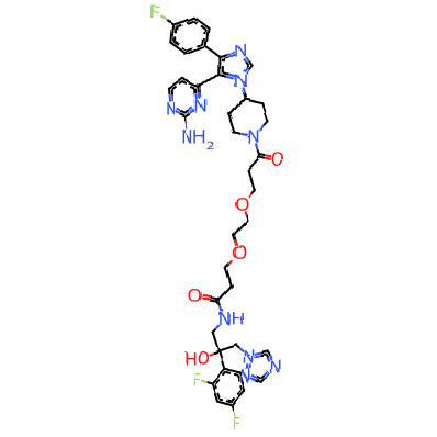 Nc1nccc(-c2c(-c3ccc(F)cc3)ncn2C2CCN(C(=O)CCOCCOCCC(=O)NCC(O)(Cn3cncn3)c3ccc(F)cc3F)CC2)n1